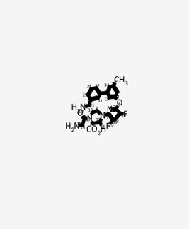 Cc1cc(Oc2nc(N3CCN(C(=O)CN)CC3C(=O)O)c(F)cc2F)cc(-c2cccc(CN)c2)c1